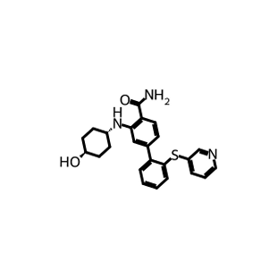 NC(=O)c1ccc(-c2ccccc2Sc2cccnc2)cc1N[C@H]1CC[C@H](O)CC1